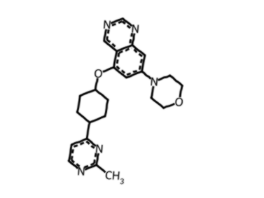 Cc1nccc(C2CCC(Oc3cc(N4CCOCC4)cc4ncncc34)CC2)n1